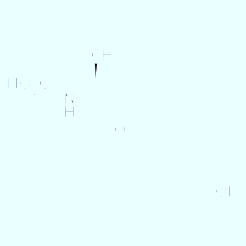 C[C@@H](COc1ccc(O)cc1)NC(=O)O